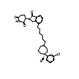 N#C[C@]1(c2cccc(Cl)c2)CCCN(CCCCCCc2cccc3c2CN(C2CCC(=O)NC2=O)C3=O)CC1